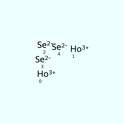 [Ho+3].[Ho+3].[Se-2].[Se-2].[Se-2]